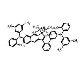 Cc1cc(C)cc(N(c2ccc3cc4c(cc3c2)C([Si](C)(C)C)([Si](C)(C)C)c2c-4c3ccccc3c3cc(N(c4cc(C)cc(C)c4)c4ccccc4C)ccc23)c2ccccc2C)c1